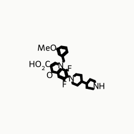 COc1cccc(Cn2cc(C(=O)O)c(=O)c3cc(F)c(N4CCC(C5CCNCC5)CC4)c(F)c32)c1